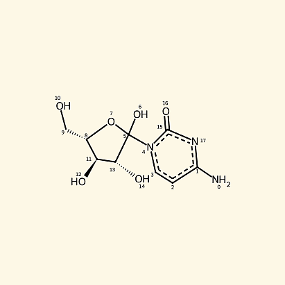 Nc1ccn(C2(O)O[C@@H](CO)[C@H](O)[C@H]2O)c(=O)n1